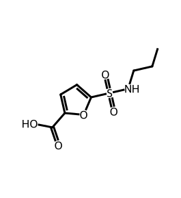 CCCNS(=O)(=O)c1ccc(C(=O)O)o1